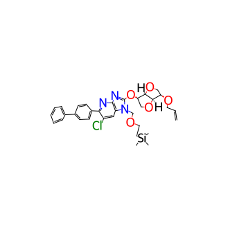 C=CCO[C@@H]1CO[C@H]2[C@@H]1OC[C@H]2Oc1nc2nc(-c3ccc(-c4ccccc4)cc3)c(Cl)cc2n1COCC[Si](C)(C)C